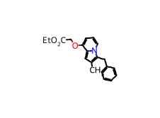 CCOC(=O)COc1cccn2c(Cc3ccccc3)c(C)cc12